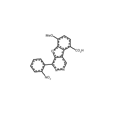 COc1ccc(C(=O)O)c2c1oc1c(-c3ccccc3[N+](=O)[O-])nncc12